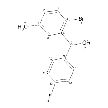 Cc1ccc(Br)c(C(O)c2ccc(F)cc2)c1